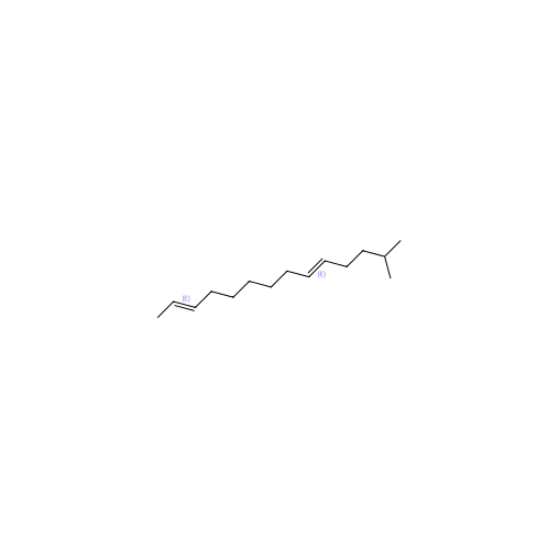 C/C=C/CCCCC/C=C/CCC(C)C